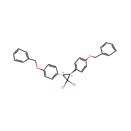 ClC1(Cl)[C@H](c2ccc(OCc3ccccc3)cc2)[C@H]1c1ccc(OCc2ccccc2)cc1